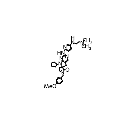 COc1ccc(CN2CCC3(Cc4cnc(Nc5ccc(NCCN(C)C)cn5)nc4N3C3CCCC3)C2=O)cc1